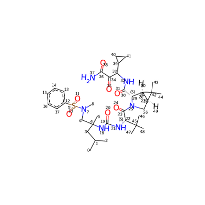 CC(C)CC(C)(CN(C)S(=O)(=O)c1ccccc1)NC(=O)N[C@H](C(=O)N1C[C@H]2[C@@H]([C@H]1C(=O)NC(C(=O)C(N)=O)C1CC1)C2(C)C)C(C)(C)C